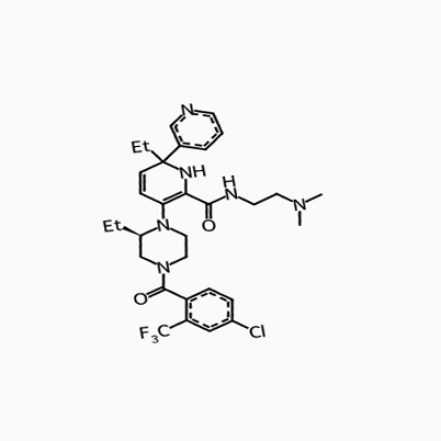 CC[C@@H]1CN(C(=O)c2ccc(Cl)cc2C(F)(F)F)CCN1C1=C(C(=O)NCCN(C)C)NC(CC)(c2cccnc2)C=C1